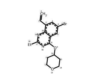 C=Cc1cc(Br)cc2c(OC3CCOCC3)nc(CC)nc12